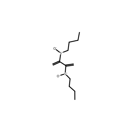 C=C(C(=C)[S+]([O-])CCCC)[S+]([O-])CCCC